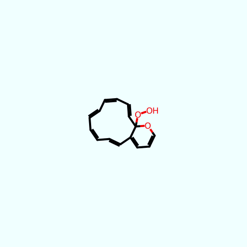 OOC12/C=C/C=C\C=C\C=C/C=C/C1=CC=CO2